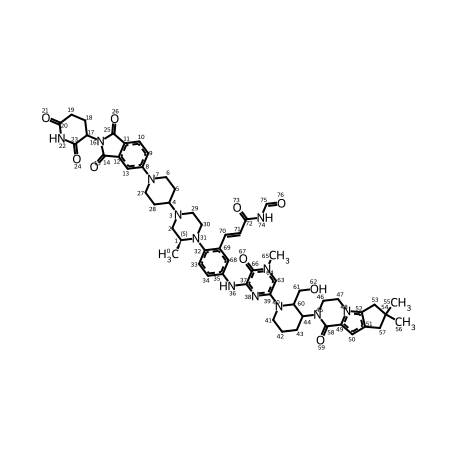 C[C@H]1CN(C2CCN(c3ccc4c(c3)C(=O)N(C3CCC(=O)NC3=O)C4=O)CC2)CCN1c1ccc(Nc2nc(N3CCCC(N4CCn5c(cc6c5CC(C)(C)C6)C4=O)C3CO)cn(C)c2=O)cc1C=CC(=O)NC=O